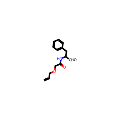 C=CCOCC(=O)NC(C=O)Cc1ccccc1